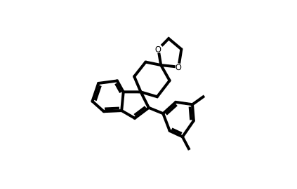 Cc1cc(C)cc(C2=Cc3ccccc3C23CCC2(CC3)OCCO2)c1